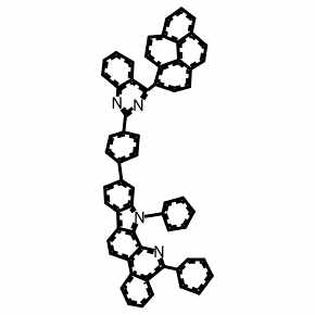 c1ccc(-c2nc3c(ccc4c5ccc(-c6ccc(-c7nc(-c8ccc9ccc%10cccc%11ccc8c9c%10%11)c8ccccc8n7)cc6)cc5n(-c5ccccc5)c43)c3ccccc23)cc1